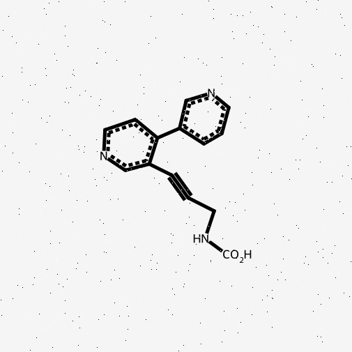 O=C(O)NCC#Cc1cnccc1-c1cccnc1